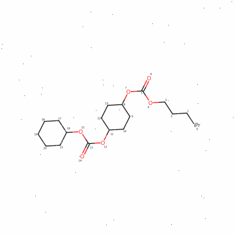 CC(C)CCCOC(=O)OC1CCC(OC(=O)OC2CCCCC2)CC1